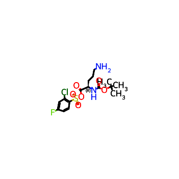 CC(C)(C)OC(=O)N[C@H](CCCN)C(=O)OS(=O)(=O)c1ccc(F)cc1Cl